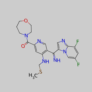 CSCNc1cc(C(=O)N2CCCOCC2)ncc1C(=N)c1cnc2c(F)cc(F)cn12